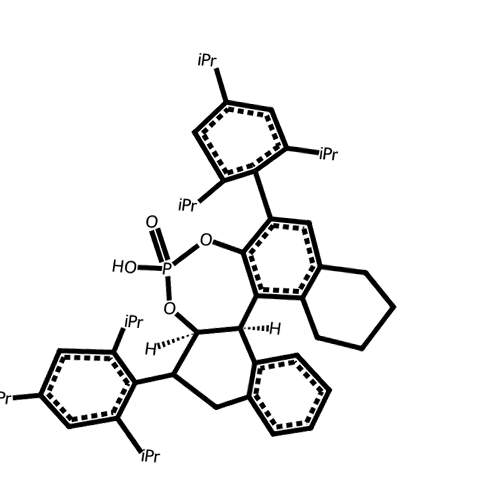 CC(C)c1cc(C(C)C)c(-c2cc3c(c4c2OP(=O)(O)O[C@@H]2C(c5c(C(C)C)cc(C(C)C)cc5C(C)C)Cc5ccccc5[C@H]42)CCCC3)c(C(C)C)c1